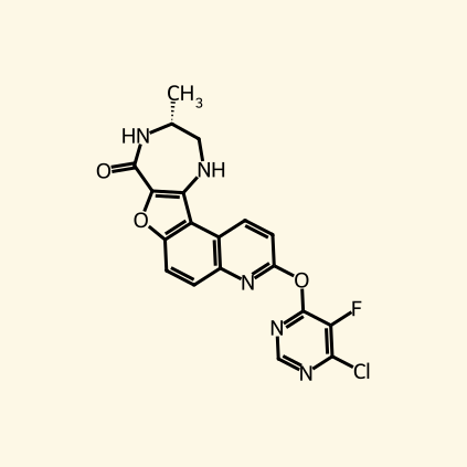 C[C@@H]1CNc2c(oc3ccc4nc(Oc5ncnc(Cl)c5F)ccc4c23)C(=O)N1